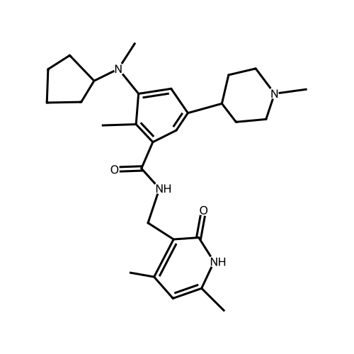 Cc1cc(C)c(CNC(=O)c2cc(C3CCN(C)CC3)cc(N(C)C3CCCC3)c2C)c(=O)[nH]1